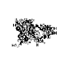 CC(C)C[C@H](NC(=O)[C@H](C)NC(=O)[C@H](C)NC(=O)[C@@H](NC(=O)CNC(=O)CNC(=O)[C@H](CO)NC(=O)[C@@H](NC(=O)[C@H](CO)NC(=O)[C@@H](N)CCCCN)[C@@H](C)O)[C@@H](C)O)C(=O)NCC(=O)N[C@@H](CS)C(=O)N[C@@H](CC(C)C)C(=O)N[C@H](C(=O)N[C@@H](CCCCN)C(=O)N[C@@H](CC(=O)O)C(=O)N[C@@H](Cc1ccc(O)cc1)C(=O)N[C@@H](Cc1ccccc1)C(=O)N1CCC[C@H]1C(=O)N[C@@H](CCC(=O)O)C(=O)O)C(C)C